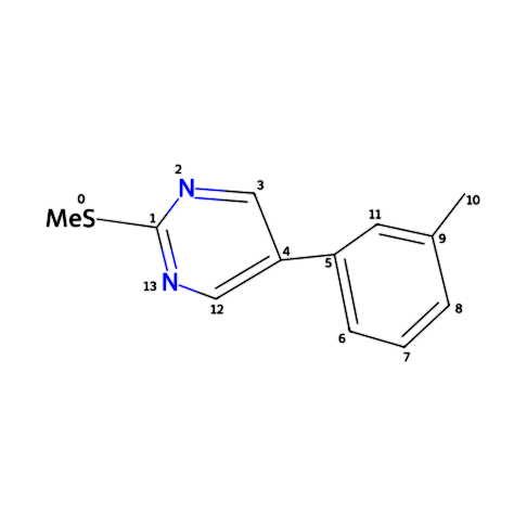 CSc1ncc(-c2cccc(C)c2)cn1